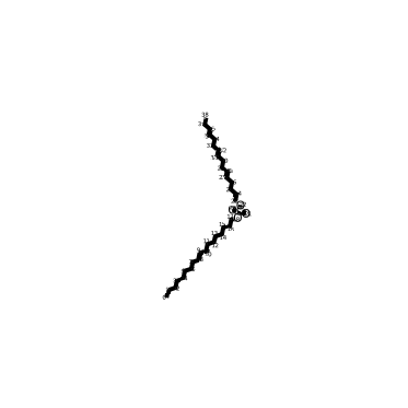 CCCCCCCCC=CCCCCCCCCOS(=O)(=O)OCCCCCCCCCCCCCCCC